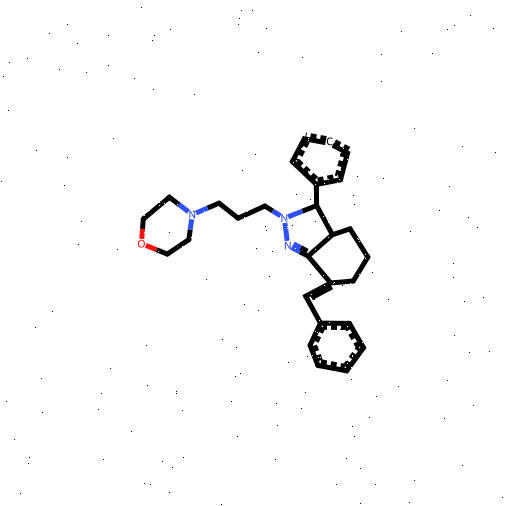 C(=C1CCCC2C1=NN(CCCN1CCOCC1)C2c1ccccc1)c1ccccc1